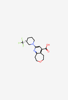 O=C(O)c1cc(N2CCC[C@@H](C(F)(F)F)C2)nc2c1CCOCC2